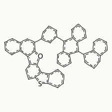 c1cc(-c2c3ccccc3c(-c3cccc4ccccc34)c3ccccc23)cc(-c2cc3ccccc3c3c2oc2c3ccc3sc4ccccc4c32)c1